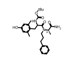 Cc1cc(O)cc(C)c1CC(NC(=O)OC(C)(C)C)C(=O)N(CCCc1ccccc1)[C@H](C)C(N)=O